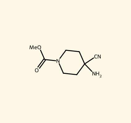 COC(=O)N1CCC(N)(C#N)CC1